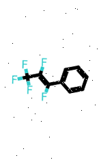 FC(=C(F)C(F)(F)F)c1ccccc1